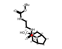 CC(C)(C)OC(=O)NCCNC(=S)N1C2CCC1CN(C(=O)O)C2